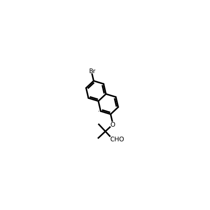 CC(C)(C=O)Oc1[c]c2ccc(Br)cc2cc1